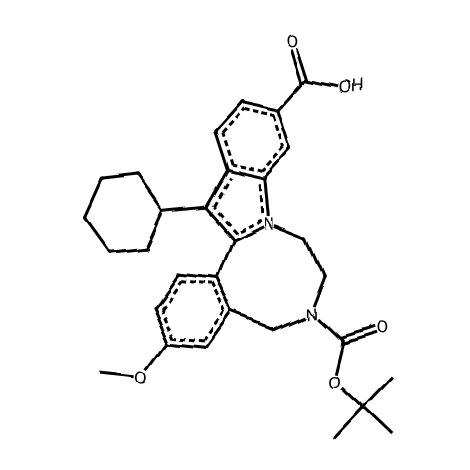 COc1ccc2c(c1)CN(C(=O)OC(C)(C)C)CCn1c-2c(C2CCCCC2)c2ccc(C(=O)O)cc21